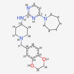 c1cc(N2CCCCCC2)nc(NC2CCN(Cc3ccc4c(c3)OCCO4)CC2)n1